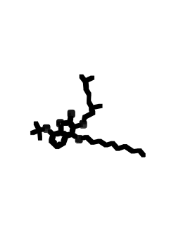 CCCCCCCCCCOc1c(OCC=C(C)CCC=C(C)C)c(=O)oc2c(OC(C)(C)C)cccc12